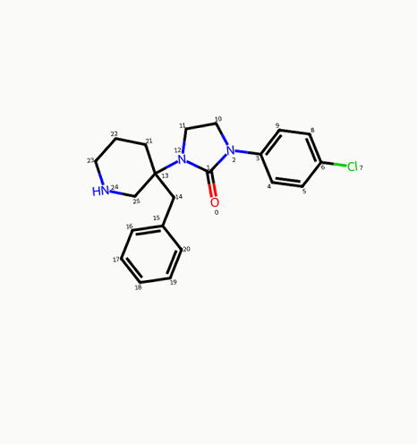 O=C1N(c2ccc(Cl)cc2)CCN1C1(Cc2ccccc2)CCCNC1